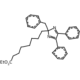 CCOC(=O)CCCCCCCC1(Cc2ccccc2)N=C(c2ccccc2)C(c2ccccc2)=N1